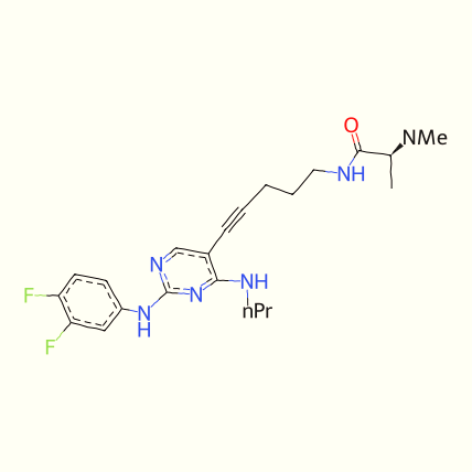 CCCNc1nc(Nc2ccc(F)c(F)c2)ncc1C#CCCCNC(=O)[C@H](C)NC